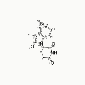 Cn1c(=O)n(C2CCC(=O)NC2=O)c2cccc(C(C)(C)C)c21